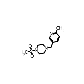 Cc1ccc(CN2CCN(S(C)(=O)=O)CC2)cn1